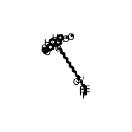 COCO[C@H]1CC[C@H]2[C@@H]3CC[C@H]4CC5(CC[C@]4(C)[C@H]3[C@@H](OCC=CCCCCCCCCCC[S+]([O-])CCCC(F)(F)C(F)(F)F)C[C@]12C)OCCO5